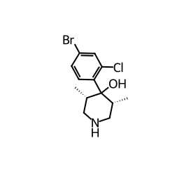 C[C@@H]1CNC[C@H](C)C1(O)c1ccc(Br)cc1Cl